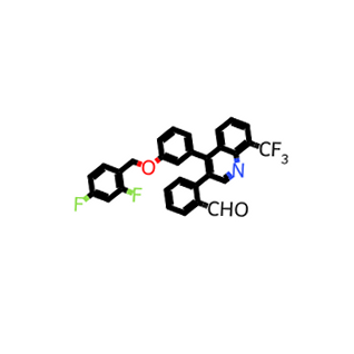 O=Cc1ccccc1-c1cnc2c(C(F)(F)F)cccc2c1-c1cccc(OCc2ccc(F)cc2F)c1